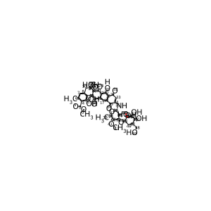 COC(=O)c1c(C)cc2c(c1O)[C@]1(O)C(=O)c3cc4c(c(O)c3C(=O)[C@]1(OC)[C@H](O)C2)C(=O)C=C(N[C@H]1O[C@@H](C)[C@H](OC)[C@@H](O[C@@H]2C[C@H](CO)[C@@H](O)[C@H](O)[C@H]2O)[C@H]1CO)C4=O